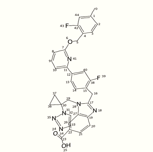 Cc1ccc(COc2cccc(-c3ccc(Cc4nc5ccc(C(=O)O)cc5n4CC4(n5ccnn5)CC4)c(F)c3)n2)c(F)c1